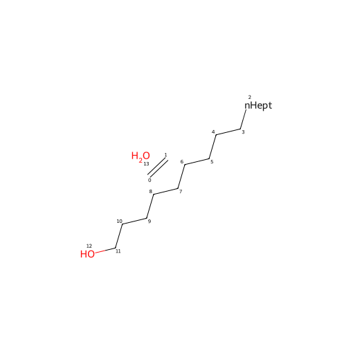 C=C.CCCCCCCCCCCCCCCCO.O